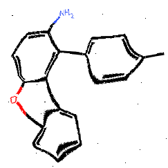 Cc1ccc(-c2c(N)ccc3oc4ccccc4c23)cc1